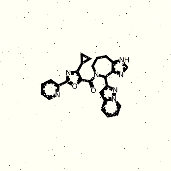 O=C(c1oc(-c2ccccn2)nc1C1CC1)N1CCCc2[nH]cnc2C1c1cc2ccccn2n1